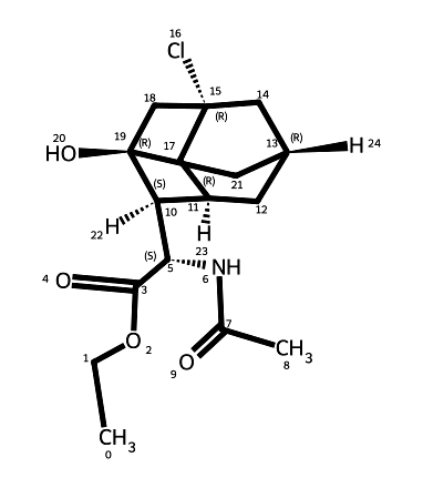 CCOC(=O)[C@@H](NC(C)=O)[C@@H]1[C@@H]2C[C@H]3C[C@@](Cl)(C2)C[C@]1(O)C3